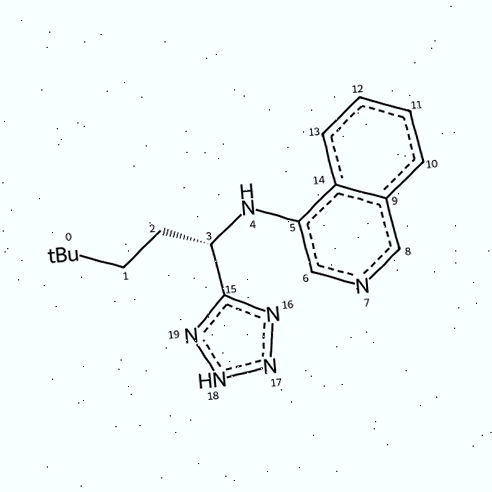 CC(C)(C)CC[C@H](Nc1cncc2ccccc12)c1nn[nH]n1